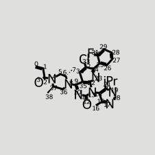 C=CC(=O)N1C[C@H](C)N(c2nc(=O)n(-c3c(C)ncnc3C(C)C)c3nc(-c4ccccc4F)c(Cl)cc23)C[C@H]1C